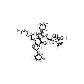 CCOC(=O)Cn1c(=O)n(CC(=O)c2ccccc2)c(=O)c2c1nc(N1CCNCC1)n2CC=C(C)C.O=C(O)C(F)(F)F